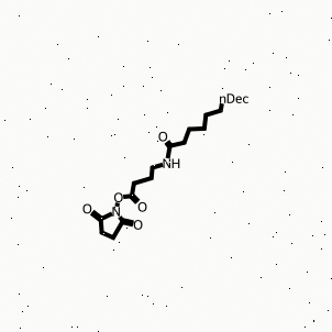 CCCCCCCCCCCCCCCC(=O)NCCCC(=O)ON1C(=O)CCC1=O